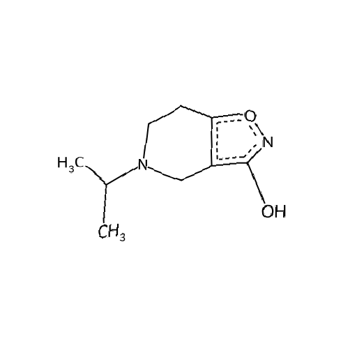 CC(C)N1CCc2onc(O)c2C1